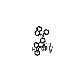 CC1(C)c2ccc(N(c3ccccc3)c3cccc4ccccc34)cc2-c2cccc(-c3ccccc3)c2C1(C)C